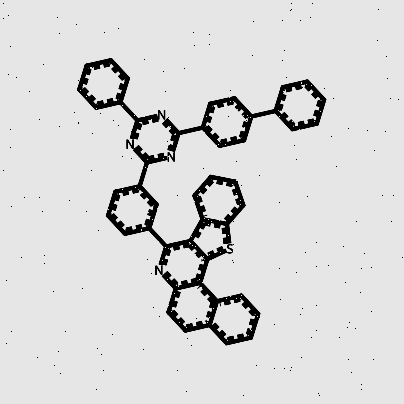 c1ccc(-c2ccc(-c3nc(-c4ccccc4)nc(-c4cccc(-c5nc6ccc7ccccc7c6c6sc7ccccc7c56)c4)n3)cc2)cc1